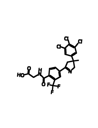 CC1(c2cc(Cl)c(Cl)c(Cl)c2)CN=C(c2ccc(C(=O)NCC(=O)O)c(C(F)(F)F)c2)C1